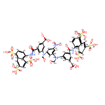 O=CN(c1cc(C(=O)O)cc(C(=O)Nc2ccc(S(=O)(=O)O)c3cc(S(=O)(=O)O)cc(S(=O)(=O)O)c23)c1)c1cc(N(C=O)c2cc(C(=O)O)cc(C(=O)Nc3ccc(S(=O)(=O)O)c4cc(S(=O)(=O)O)cc(S(=O)(=O)O)c34)c2)cc([N+](=O)[O-])c1